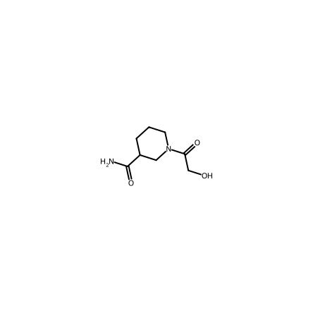 NC(=O)C1CCCN(C(=O)CO)C1